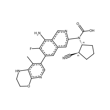 Cc1c(-c2cc3cc(N(C(=O)O)[C@@H]4CCC[C@H]4C#N)ncc3c(N)c2F)cnc2c1NCCO2